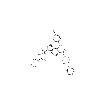 Cc1cc(F)ccc1Nc1c(C(=O)N2CCC(c3ccccc3)CC2)cnc2c(S(=O)(=O)NC(=O)N3CCOCC3)cnn12